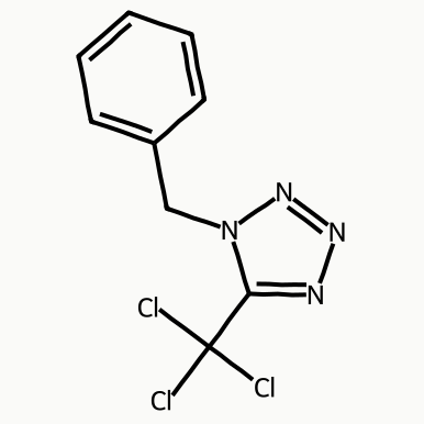 ClC(Cl)(Cl)c1nnnn1Cc1ccccc1